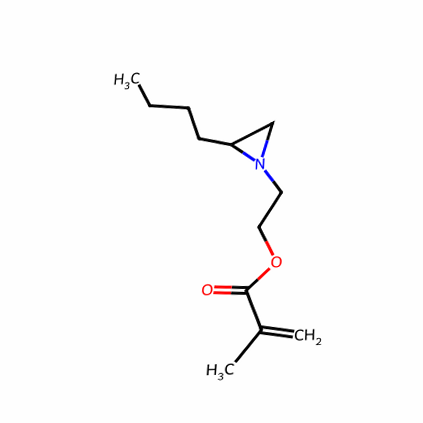 C=C(C)C(=O)OCCN1CC1CCCC